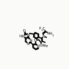 C/C=C(/c1ccc(Cn2c(=O)[nH]c3cnc(-c4cccnc4OCCOC)nc32)cc1)N(C)/C=C(\N)C(F)(F)F